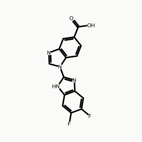 O=C(O)c1ccc2c(c1)ncn2-c1nc2cc(F)c(F)cc2[nH]1